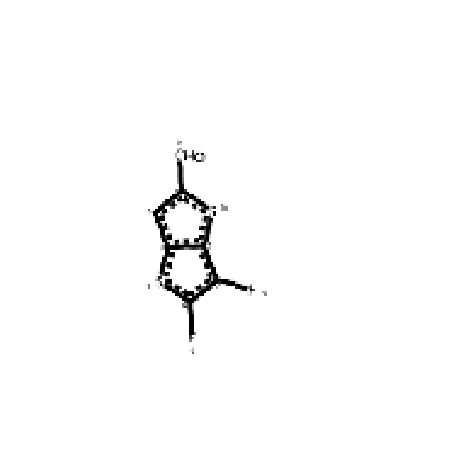 O=Cc1cc2sc(F)c(F)c2s1